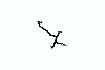 CC(C#N)C(C#N)CCCC#N